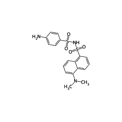 CN(C)c1cccc2c(S(=O)(=O)NS(=O)(=O)c3ccc(N)cc3)cccc12